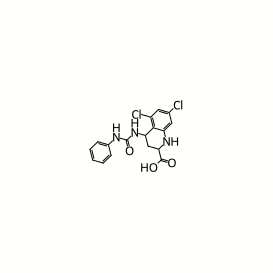 O=C(Nc1ccccc1)NC1CC(C(=O)O)Nc2cc(Cl)cc(Cl)c21